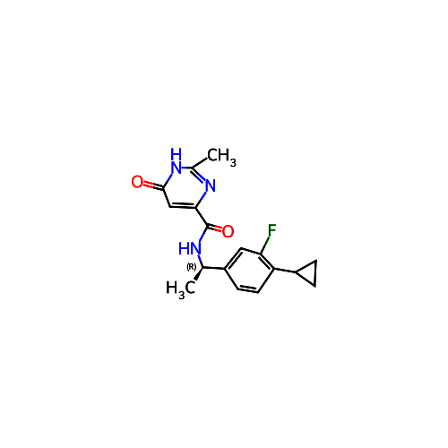 Cc1nc(C(=O)N[C@H](C)c2ccc(C3CC3)c(F)c2)cc(=O)[nH]1